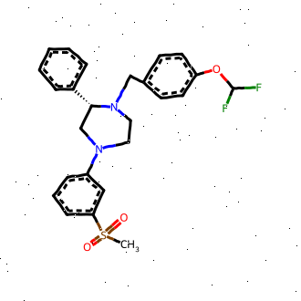 CS(=O)(=O)c1cccc(N2CCN(Cc3ccc(OC(F)F)cc3)[C@@H](c3ccccc3)C2)c1